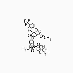 CCOC(=O)c1cn(-c2ccc3c(c2)n(C(=O)OC(C)(C)C)c(=O)n3C)c(=O)n(C2CCc3c2cccc3C(F)(F)F)c1=O